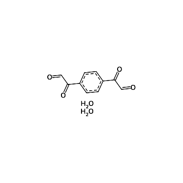 O.O.O=CC(=O)c1ccc(C(=O)C=O)cc1